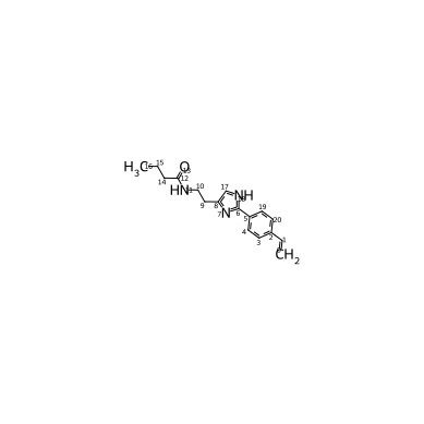 C=Cc1ccc(-c2nc(CCNC(=O)CCC)c[nH]2)cc1